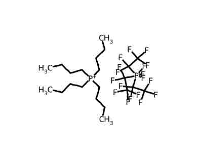 CCCC[P+](CCCC)(CCCC)CCCC.FC(F)(F)C(F)(F)[P-](F)(F)(F)(C(F)(F)C(F)(F)F)C(F)(F)C(F)(F)F